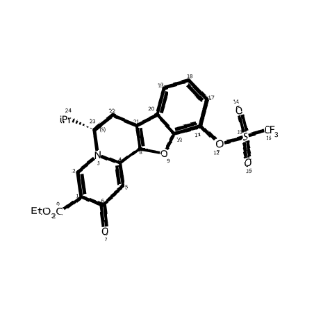 CCOC(=O)c1cn2c(cc1=O)-c1oc3c(OS(=O)(=O)C(F)(F)F)cccc3c1C[C@H]2C(C)C